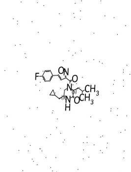 CC(C)C[C@H]1C(=O)N[C@@H](CC2CC2)CN1C(=O)c1cc(-c2ccc(F)cc2)on1